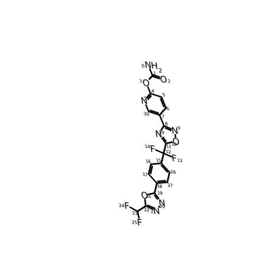 NC(=O)Oc1ccc(-c2noc(C(F)(F)c3ccc(-c4nnc(C(F)F)o4)cc3)n2)cn1